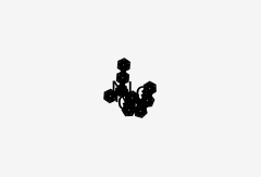 c1ccc(-c2ccc(-c3nc(-c4ccccc4)nc(-c4ccc(-n5c6ccccc6c6ccc7c8ccccc8oc7c65)c5c4oc4ccccc45)n3)cc2)cc1